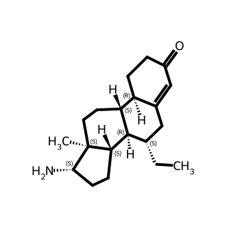 CC[C@H]1CC2=CC(=O)CC[C@@H]2[C@H]2CC[C@]3(C)[C@@H](N)CC[C@H]3[C@H]12